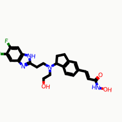 O=C(C=Cc1ccc2c(c1)CCC2N(CCO)CCc1nc2cc(F)c(F)cc2[nH]1)NO